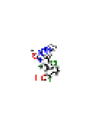 COc1nc(N2CC3CCC(C2)N3)c2cc(Cl)c(-c3cc(O)c(F)c4ccccc34)c(F)c2n1